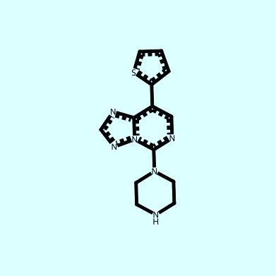 c1csc(-c2cnc(N3CCNCC3)n3ncnc23)c1